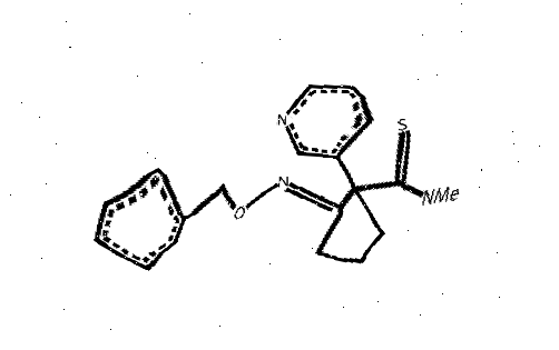 CNC(=S)C1(c2cccnc2)CCCC1=NOCc1ccccc1